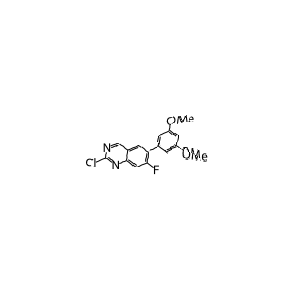 COc1cc(OC)cc(-c2cc3cnc(Cl)nc3cc2F)c1